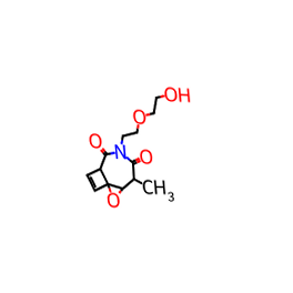 CC1C(=O)N(CCOCCO)C(=O)C2C=CC23OC13